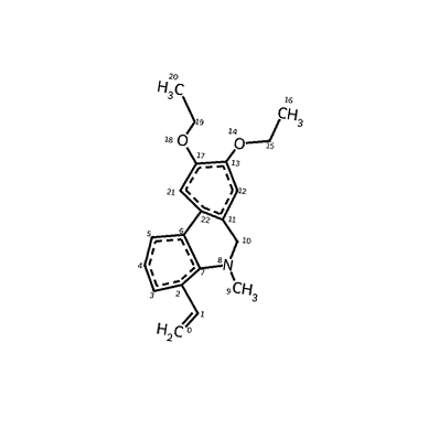 C=Cc1cccc2c1N(C)Cc1cc(OCC)c(OCC)cc1-2